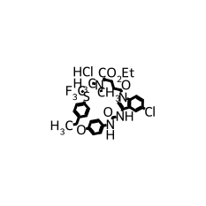 CCOC(=O)C(CCC(=O)n1cc(NC(=O)Nc2ccc(OC(C)c3ccc(SC(F)(F)F)cc3)cc2)c2cc(Cl)ccc21)N(C)C.Cl